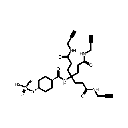 C#CCNC(=O)CCC(CCC(=O)NCC#C)(CCC(=O)NCC#C)NC(=O)[C@H]1CC[C@H](OP(=O)(S)C(C)C)CC1